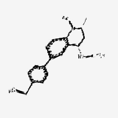 CC(=O)N1c2ccc(-c3ccc(CO)cc3)cc2[C@@H](NC(=O)O)C[C@H]1C